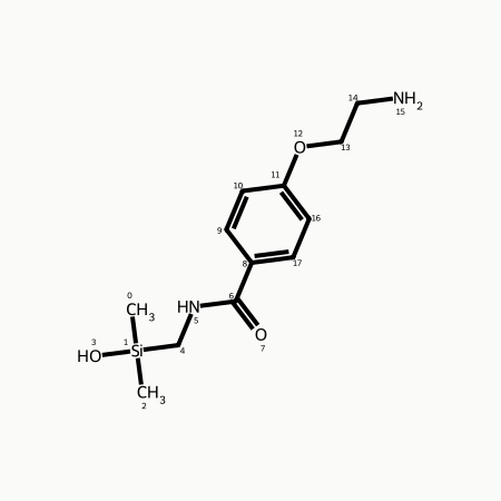 C[Si](C)(O)CNC(=O)c1ccc(OCCN)cc1